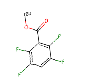 CC(C)(C)OC(=O)c1c(F)c(F)[c]c(F)c1F